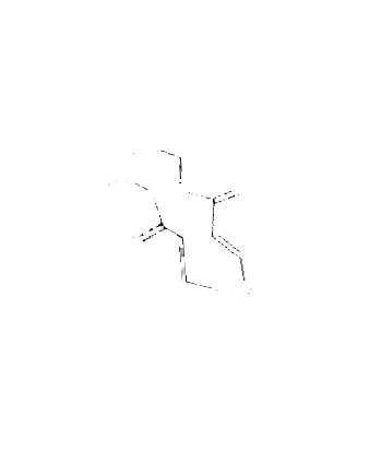 CCCCCCCCCCCOC(=O)C=CC(=O)O.CCCCCCCCCOC(=O)C=CC(=O)O